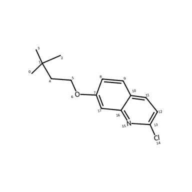 CC(C)(C)CCOc1ccc2ccc(Cl)nc2c1